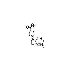 Cc1cccc(N2CCC(C(=O)N3CCC3)CC2)c1C